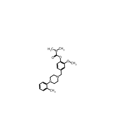 COc1cc(CN2CCN(c3ccccc3C)CC2)ccc1OC(=O)N(C)C